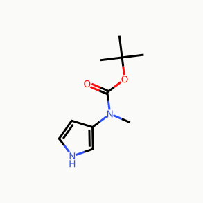 CN(C(=O)OC(C)(C)C)c1cc[nH]c1